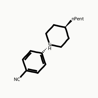 CCCCC[C@H]1CC[Si@H](c2ccc(C#N)cc2)CC1